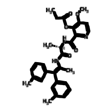 CCC(=O)Oc1c(OC)ccnc1C(=O)N[C@@H](C)C(=O)NC(C)=C(c1cccc(C)c1)c1cccc(C)c1